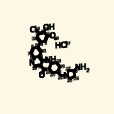 COc1cc(-c2ccc3ncc(C(C)=O)c(NC4CCC(CN5CCC(N)C5)CC4)c3c2)cc(Cl)c1O.Cl